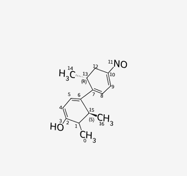 CC1C(O)=CC=C(C2=CC=C(N=O)C[C@H]2C)[C@H]1C